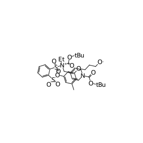 CC[N+](CC1=CCN(C(=O)OC(C)(C)C)C=C1)(C(=O)OC(C)(C)C)S(=O)(=O)c1ccccc1S(=O)(=O)Oc1cc(C)cc(OCCC[O])c1